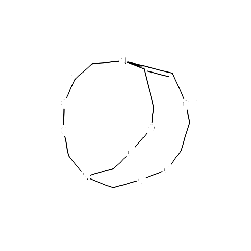 C1=C\N2CCOCCN(CCOCCO/1)CCOCC2